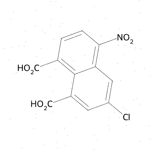 O=C(O)c1ccc([N+](=O)[O-])c2cc(Cl)cc(C(=O)O)c12